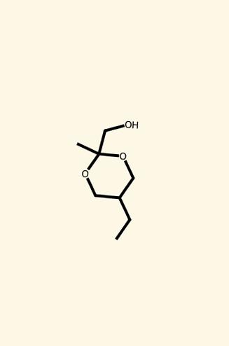 CCC1COC(C)(CO)OC1